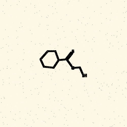 S=C(OCS)C1CCCCC1